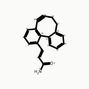 NC(=O)C=Cc1cccc2c1-c1ccccc1CCC#C2